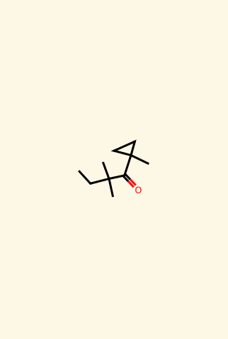 CCC(C)(C)C(=O)C1(C)CC1